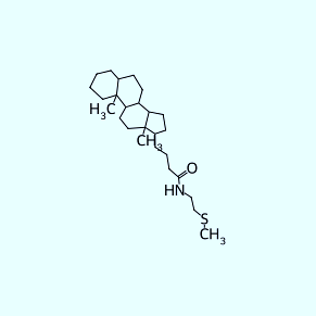 CSCCNC(=O)CCCC1CCC2C3CCC4CCCCC4(C)C3CCC12C